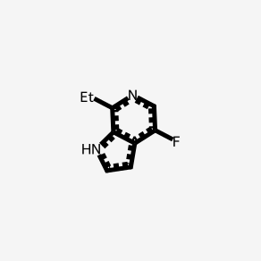 [CH2]Cc1ncc(F)c2cc[nH]c12